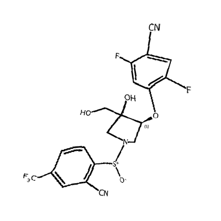 N#Cc1cc(F)c(O[C@H]2CN([S+]([O-])c3ccc(C(F)(F)F)cc3C#N)CC2(O)CO)cc1F